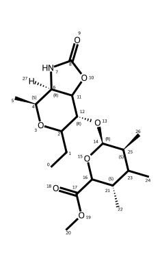 CCC1O[C@@H](C)[C@H]2NC(=O)OC2[C@@H]1O[C@@H]1OC(C(=O)OC)[C@@H](C)C(C)[C@@H]1C